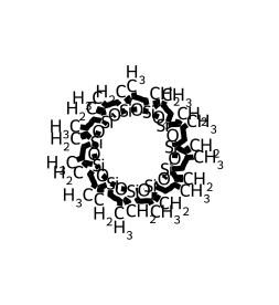 C=C[Si]1(CCC)O[Si](C=C)(CCC)O[Si](C=C)(CCC)O[Si](C=C)(CCC)O[Si](C=C)(CCC)O[Si](C=C)(CCC)O[Si](C=C)(CCC)O[Si](C=C)(CCC)O[Si](C=C)(CCC)O[Si](C=C)(CCC)O[Si](C=C)(CCC)O1